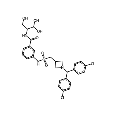 O=C(NC(CO)C(O)O)c1cccc(NS(=O)(=O)CC2CN(C(c3ccc(Cl)cc3)c3ccc(Cl)cc3)C2)c1